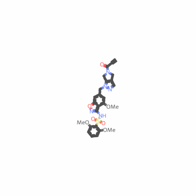 C#CC(=O)N1Cc2cnn(Cc3cc(OC)c4c(NS(=O)(=O)c5c(OC)cccc5OC)noc4c3)c2C1